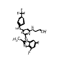 Cc1nc2c(F)cc(F)cc2n1-c1nc(NCCO)cc(Nc2ccc(C(F)(F)F)cc2)n1